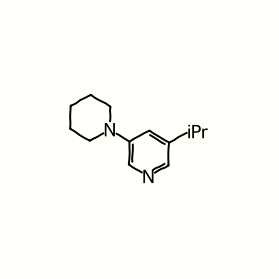 CC(C)c1cncc(N2CCCCC2)c1